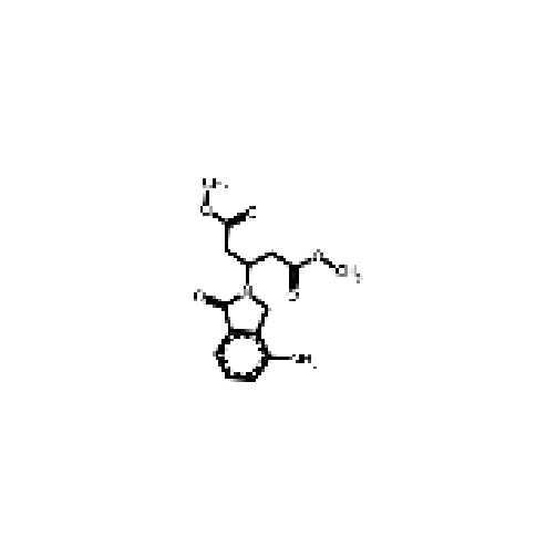 COC(=O)CC(CC(=O)OC)N1Cc2c(N)cccc2C1=O